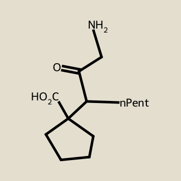 CCCCCC(C(=O)CN)C1(C(=O)O)CCCC1